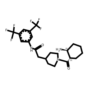 N[C@H]1CCCC[C@@H]1C(=O)N1CCC(CC(=O)Nc2cc(C(F)(F)F)cc(C(F)(F)F)c2)CC1